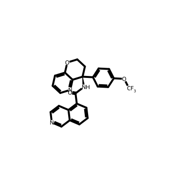 O=C(N[C@]1(c2ccc(OC(F)(F)F)cc2)CCOc2cccnc21)c1cccc2cnccc12